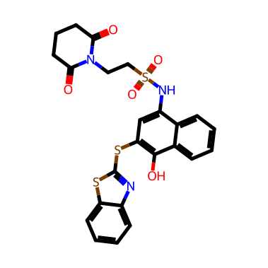 O=C1CCCC(=O)N1CCS(=O)(=O)Nc1cc(Sc2nc3ccccc3s2)c(O)c2ccccc12